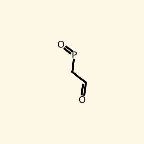 O=CCP=O